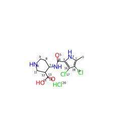 Cc1[nH]c(C(=O)NC2CCNCC2C(=O)O)c(Cl)c1Cl.Cl